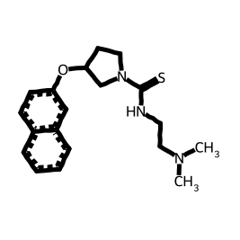 CN(C)CCNC(=S)N1CCC(Oc2ccc3ccccc3c2)C1